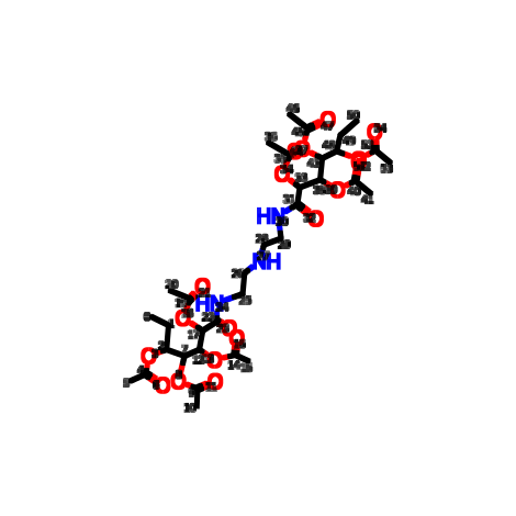 CCC(OC(C)=O)C(OC(C)=O)C(OC(C)=O)C(OC(C)=O)C(=O)NCCNCCNC(=O)C(OC(C)=O)C(OC(C)=O)C(OC(C)=O)C(CC)OC(C)=O